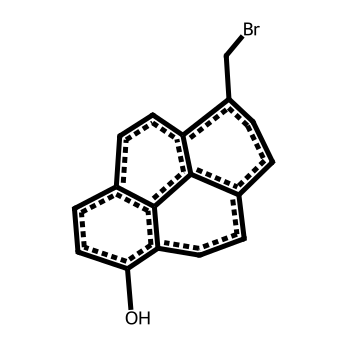 Oc1ccc2ccc3c(CBr)ccc4ccc1c2c43